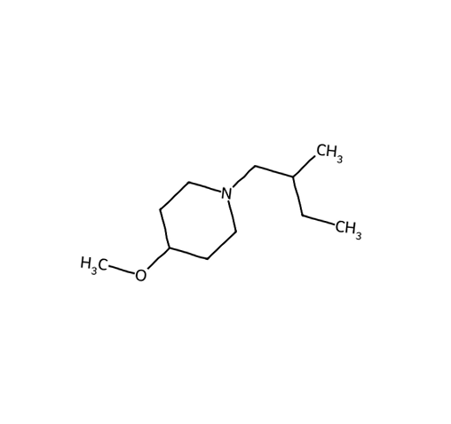 CCC(C)CN1CCC(OC)CC1